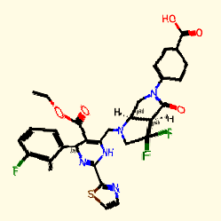 CCOC(=O)C1=C(CN2CC(F)(F)[C@@H]3C(=O)N(C4CCC(C(=O)O)CC4)C[C@@H]32)NC(c2nccs2)=N[C@H]1c1cccc(F)c1C